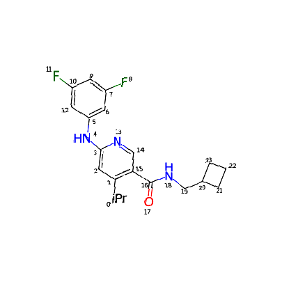 CC(C)c1cc(Nc2cc(F)cc(F)c2)ncc1C(=O)NCC1CCC1